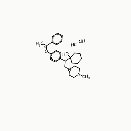 C[C@H](Oc1ccc(C(CN2CCN(C)CC2)C2(O)CCCCC2)cc1)c1ccccc1.Cl.Cl